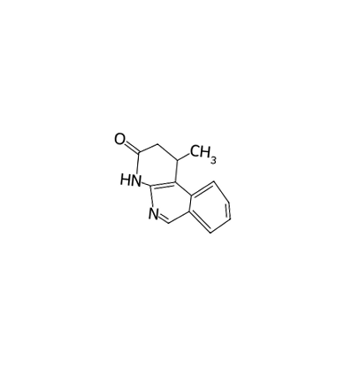 CC1CC(=O)Nc2ncc3ccccc3c21